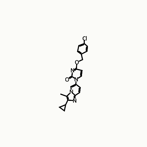 Cc1c(C2CC2)nc2ccc(-n3ccc(OCc4ccc(Cl)cc4)nc3=O)cn12